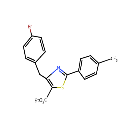 CCOC(=O)c1sc(-c2ccc(C(F)(F)F)cc2)nc1Cc1ccc(Br)cc1